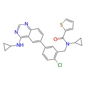 O=C(c1cccs1)N(Cc1cc(-c2ccc3ncnc(NC4CC4)c3c2)ccc1Cl)C1CC1